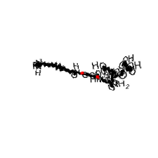 C[C@@H](CCC(=O)O)C(=O)N[C@@H](CNC(=O)CN(CC(=O)O)CC(=O)O)C(=O)N[C@@H](CCCCNC(=O)COCCOCCNC(=O)CCCCCCCCCCCCCCCc1nnn[nH]1)C(N)=O